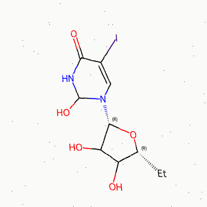 CC[C@H]1O[C@@H](N2C=C(I)C(=O)NC2O)C(O)C1O